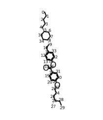 CCCCC[C@H]1CC[C@H](CCc2ccc(OC(=O)c3ccc(OCCC[C@@H](C)CC)cc3)cc2)CC1